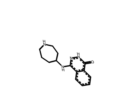 O=c1[nH]nc(NC2CCCNCC2)c2ccccc12